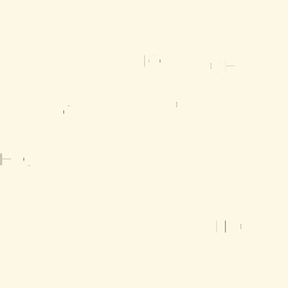 CC(C)CCCCCc1ccccc1O.O=C(O)O